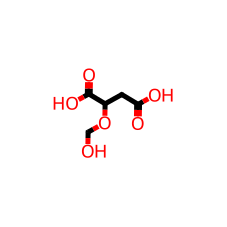 O=C(O)CC(OCO)C(=O)O